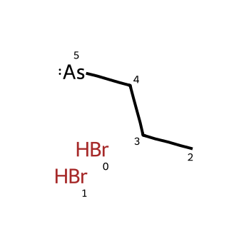 Br.Br.CCC[As]